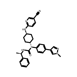 C[C@@H](NC(=O)N(c1ccc(-c2cnn(C)c2)cc1)[C@H]1CC[C@H](Nc2ccc(C#N)cn2)CC1)c1ccccc1